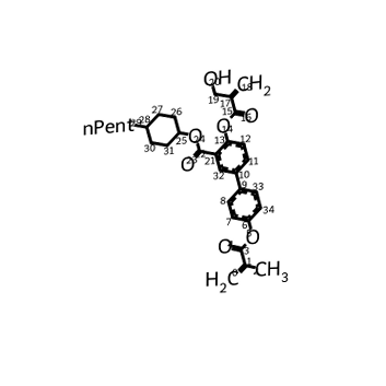 C=C(C)C(=O)Oc1ccc(-c2ccc(OC(=O)C(=C)CO)c(C(=O)OC3CCC(CCCCC)CC3)c2)cc1